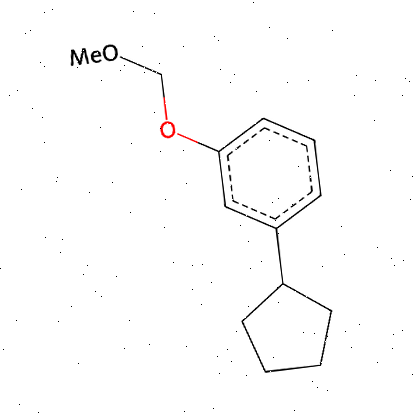 COCOc1cccc(C2CCCC2)c1